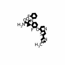 Cn1cnc(-c2cc3nccc(Oc4ccc(N(C(=O)C5(C(N)=O)CC5)c5ccccc5F)cc4F)c3s2)c1